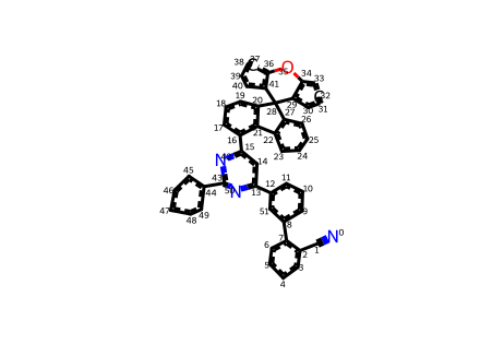 N#Cc1ccccc1-c1cccc(-c2cc(-c3cccc4c3-c3ccccc3C43c4ccccc4Oc4ccccc43)nc(-c3ccccc3)n2)c1